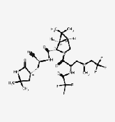 CN(CC(NC(=O)C(F)(F)F)C(=O)N1C[C@H]2[C@@H]([C@H]1C(=O)N[C@H](C#N)C[C@@H]1CC(C)(C)NC1=O)C2(C)C)CC(F)(F)F